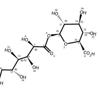 O=C(O)[C@H]1O[C@@H](OC(=O)[C@H](O)[C@@H](O)[C@H](O)[C@H](O)CO)[C@H](O)[C@@H](O)[C@@H]1O